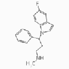 CNCCC(c1ccccc1)n1ccc2cc(F)ccc21